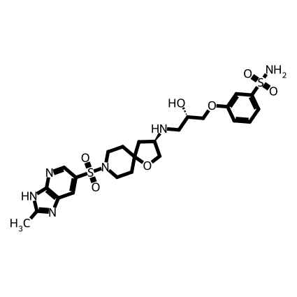 Cc1nc2cc(S(=O)(=O)N3CCC4(CC3)C[C@@H](NC[C@H](O)COc3cccc(S(N)(=O)=O)c3)CO4)cnc2[nH]1